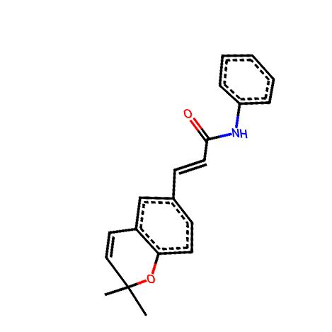 CC1(C)C=Cc2cc(C=CC(=O)Nc3ccccc3)ccc2O1